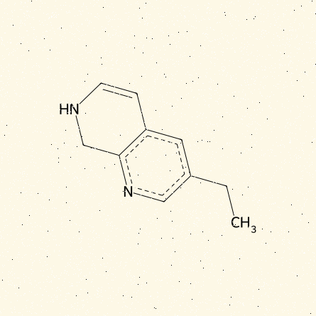 CCc1cnc2c(c1)C=CNC2